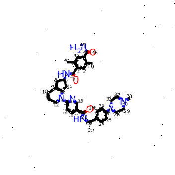 Cc1cc(C(=O)NC2CC3CCCN(c4ccc(C(=O)N[C@@H](C)c5ccc(N6CCN(C)CC6)cc5)cn4)C3C2)c(C)cc1C(N)=O